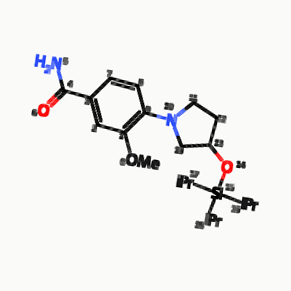 COc1cc(C(N)=O)ccc1N1CCC(O[Si](C(C)C)(C(C)C)C(C)C)C1